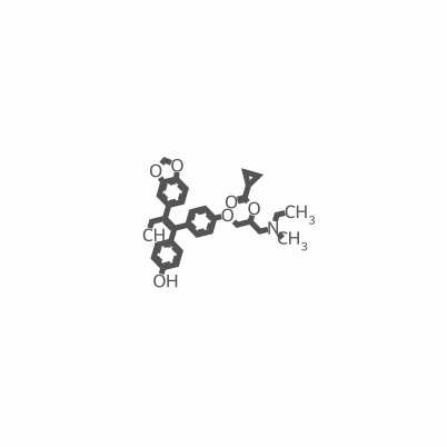 CCC(=C(c1ccc(O)cc1)c1ccc(OCC(CN(C)CC)OC(=O)C2CC2)cc1)c1ccc2c(c1)OCO2